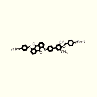 CCCCCCc1ccc(Sc2cccc3c2C(=O)c2cccc(Sc4ccc(-c5cc(C)c(OCC6CCC(CCCCC)CC6)c(C)c5)cc4)c2C3=O)cc1